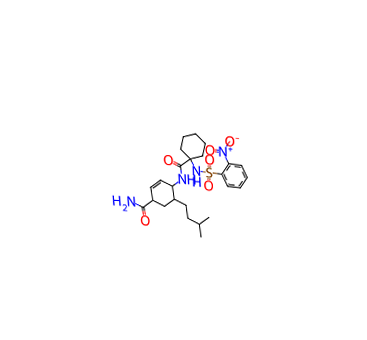 CC(C)CCC1CC(C(N)=O)C=CC1NC(=O)C1(NS(=O)(=O)c2ccccc2[N+](=O)[O-])CCCCC1